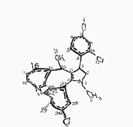 CN1CC(c2ccc(Cl)cc2Cl)C(C(O)c2cccnc2)=C1c1cccc(Cl)c1